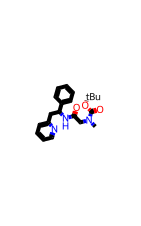 CN(CC(=O)NC(Cc1ccccn1)c1ccccc1)C(=O)OC(C)(C)C